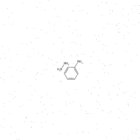 BN.Nc1ccccc1